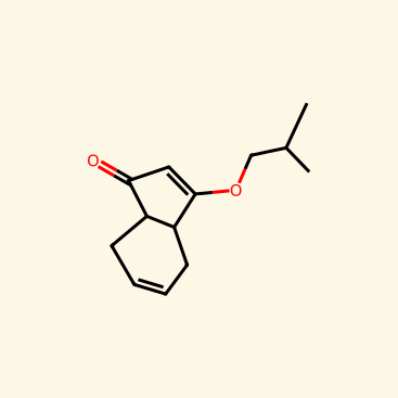 CC(C)COC1=CC(=O)C2CC=CCC12